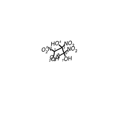 O=[N+]([O-])C(O)C(O)([N+](=O)[O-])C(O)([N+](=O)[O-])[N+](=O)[O-]